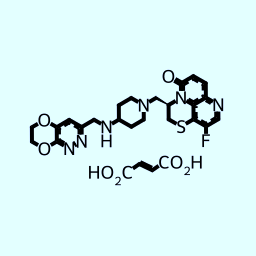 O=C(O)/C=C/C(=O)O.O=c1ccc2ncc(F)c3c2n1[C@H](CN1CCC(NCc2cc4c(nn2)OCCO4)CC1)CS3